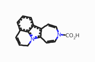 O=C(O)N1C=Cc2c(n3c4c(cccc24)C=CC3)C=C1